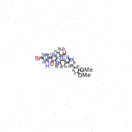 COc1ccc(-c2cnc(N)c(-c3ccc(N(F)c4cn(CC5CCOCC5)cc(C5N=CC(Br)=CN5)c4=O)cc3)c2)cc1OC